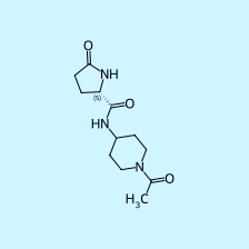 CC(=O)N1CCC(NC(=O)[C@@H]2CCC(=O)N2)CC1